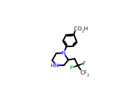 O=C(O)c1ccc(N2CCNCC2CC(F)(F)C(F)(F)F)cc1